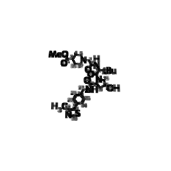 COC(=O)C1CCN(CC(=O)N[C@H](C(=O)N2C[C@H](O)C[C@H]2C(=O)NCc2ccc(-c3scnc3C)cc2)C(C)(C)C)CC1